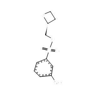 O=[N+]([O-])c1cccc(S(=O)(=O)OC[C@@H]2CCO2)c1